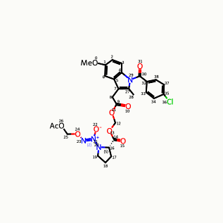 COc1ccc2c(c1)c(CC(=O)OCOC(=O)[C@@H]1CCCN1/[N+]([O-])=N/OCOC(C)=O)c(C)n2C(=O)c1ccc(Cl)cc1